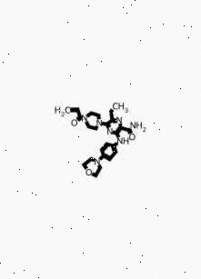 C=CC(=O)N1CCN(c2nc(Nc3ccc(N4CCOCC4)cc3)c(C(N)=O)nc2CC)CC1